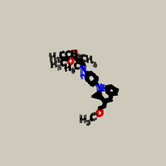 COCCC(=Cc1ccccc1)C1CC1NC1CCC(NCC(C)(C)C(=O)OC(C)(C)C)CC1